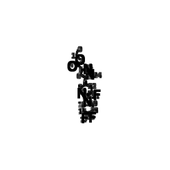 CCOC(=O)c1cc(-c2cnc(N3CCC(F)(F)CC3)c(F)c2)n(C)n1